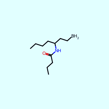 BCCC(CCCC)NC(=O)CCC